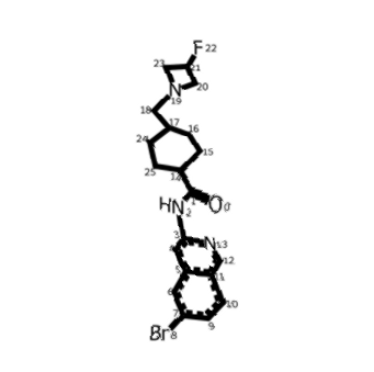 O=C(Nc1cc2cc(Br)ccc2cn1)C1CCC(CN2CC(F)C2)CC1